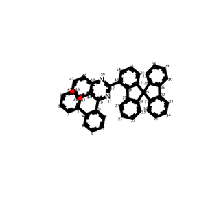 c1ccc(-c2ccccc2-c2nc(-c3cccc4c3-c3ccccc3C43c4ccccc4-c4ccccc43)nc3ccccc23)cc1